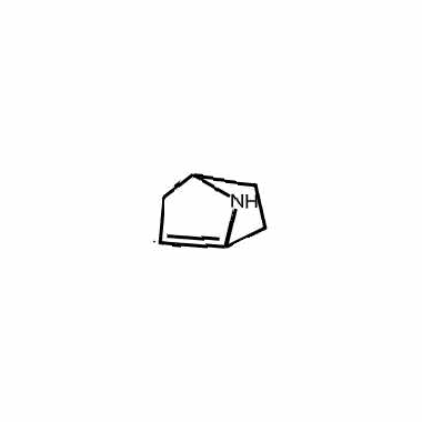 [C]1=C2CCC(C1)N2